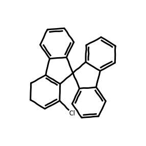 ClC1=CCCC2=C1C1(c3ccccc32)c2ccccc2-c2ccccc21